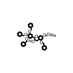 COCOc1cc(OCc2ccccc2)c2c(c1)OC(c1cc(OCc3ccccc3)c(OCc3ccccc3)c(OCc3ccccc3)c1)C(O)C2